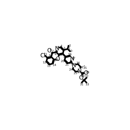 CC(C)c1cnc2c(=O)c3c(Cl)cccc3oc2c1-c1ccc(N2CCN(C(=O)OC(C)(C)C)[C@@H](C)C2)nc1